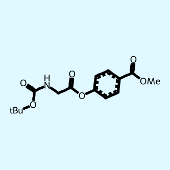 COC(=O)c1ccc(OC(=O)CNC(=O)OC(C)(C)C)cc1